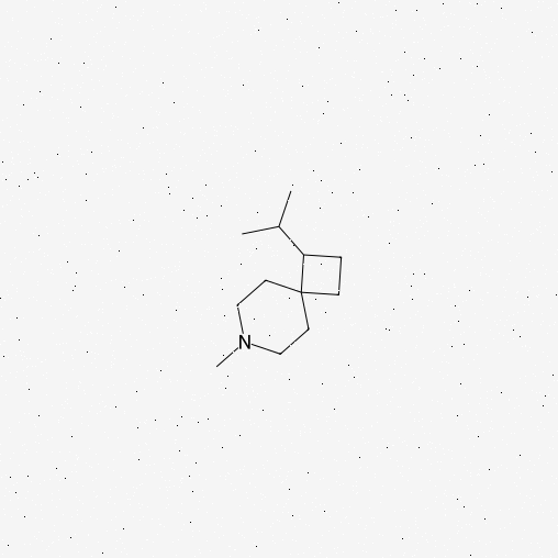 CC(C)C1CCC12CCN(C)CC2